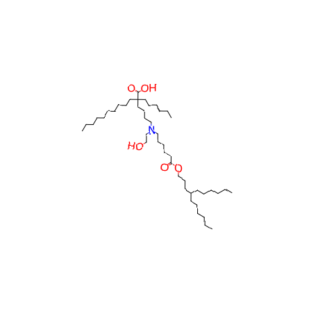 CCCCCCCCCCC(CCCCCC)(CCCCN(CCO)CCCCCC(=O)OCCCC(CCCCCC)CCCCCC)C(=O)O